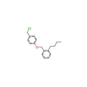 CCCCc1ccccc1COc1ccc(CCl)cc1